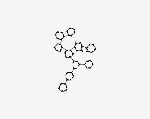 c1ccc(-c2cc(-c3ccc4c(c3)-c3cc5oc6ccccc6c5cc3Oc3ccccc3-c3ccccc3-c3ccccc3-4)nc(-c3cnc(-c4ccccc4)nc3)n2)cc1